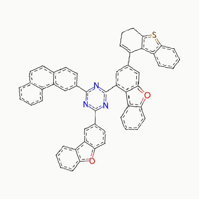 C1=C(c2cc(-c3nc(-c4ccc5ccc6ccccc6c5c4)nc(-c4ccc5oc6ccccc6c5c4)n3)c3c(c2)oc2ccccc23)c2c(sc3ccccc23)CC1